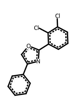 Clc1cccc(-c2nc(-c3ccccc3)co2)c1Cl